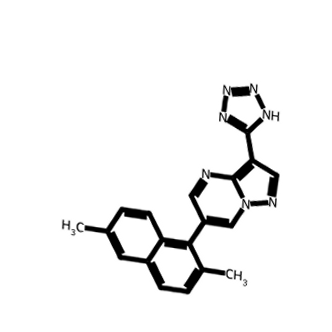 Cc1ccc2c(-c3cnc4c(-c5nnn[nH]5)cnn4c3)c(C)ccc2c1